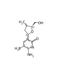 Bc1cn([C@H]2CC(=C)[C@@H](CO)O2)c(=O)nc1N